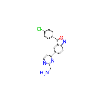 NCc1nccc(-c2ccc3noc(-c4ccc(Cl)cc4)c3c2)n1